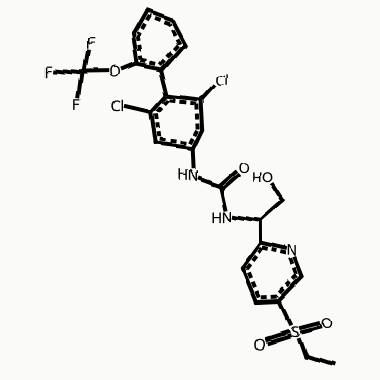 CCS(=O)(=O)c1ccc(C(CO)NC(=O)Nc2cc(Cl)c(-c3ccccc3OC(F)(F)F)c(Cl)c2)nc1